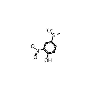 C[S+]([O-])c1ccc(O)c([N+](=O)[O-])c1